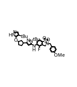 COc1ccc(CN2Cc3c(ccc(Nc4cc(C5CCC(Oc6[nH]ncc6C(C)(C)C)C5)nn4C(C)(C)C)c3F)S2(=O)=O)cc1